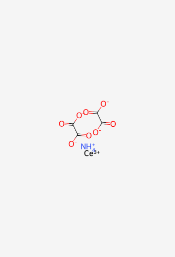 O=C([O-])C(=O)[O-].O=C([O-])C(=O)[O-].[Ce+3].[NH4+]